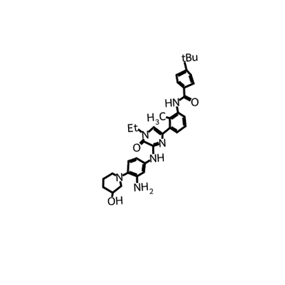 CCn1cc(-c2cccc(NC(=O)c3ccc(C(C)(C)C)cc3)c2C)nc(Nc2ccc(N3CCCC(O)C3)c(N)c2)c1=O